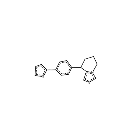 c1csc(-c2ccc(C3CCCn4cncc43)cc2)c1